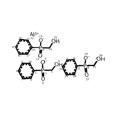 O=P([O-])(CO)c1ccccc1.O=P([O-])(CO)c1ccccc1.O=P([O-])(CO)c1ccccc1.[Al+3]